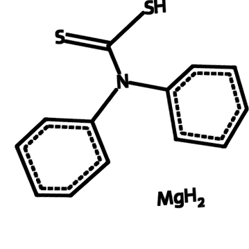 S=C(S)N(c1ccccc1)c1ccccc1.[MgH2]